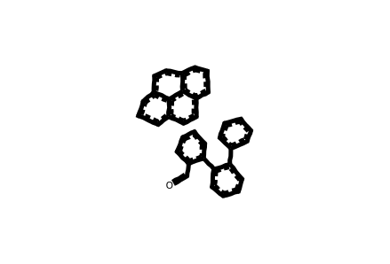 O=Cc1ccccc1-c1ccccc1-c1ccccc1.c1cc2ccc3cccc4ccc(c1)c2c34